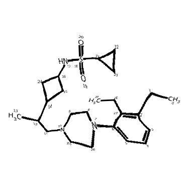 CCc1cccc(N2CCN(CC(C)C3CC(NS(=O)(=O)C4CC4)C3)CC2)c1CC